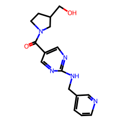 O=C(c1cnc(NCc2cccnc2)nc1)N1CCC(CO)C1